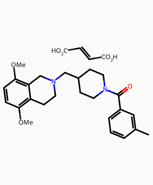 COc1ccc(OC)c2c1CCN(CC1CCN(C(=O)c3cccc(C)c3)CC1)C2.O=C(O)C=CC(=O)O